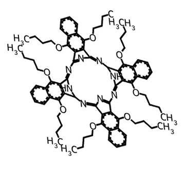 CCCCOc1c2c(c(OCCCC)c3ccccc13)/C1=N/C3N/C(=N\C4=NC(=N\C5N/C(=N\C2=N1)c1c5c(OCCCC)c2ccccc2c1OCCCC)/c1c4c(OCCCC)c2ccccc2c1OCCCC)c1c3c(OCCCC)c2ccccc2c1OCCCC